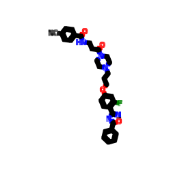 N#Cc1ccc(C(=O)NCCC(=O)N2CCN(CCCOc3ccc(-c4noc(-c5ccccc5)n4)c(F)c3)CC2)cc1